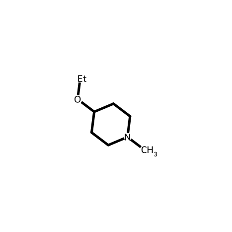 [CH2]COC1CCN(C)CC1